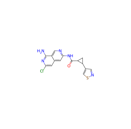 Nc1nc(Cl)cc2cc(NC(=O)C3CC3c3cnsc3)ncc12